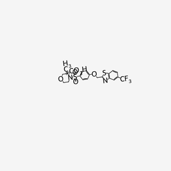 C[C@]1(C(=O)O)COCCN1S(=O)(=O)c1ccc(OCc2nc3cc(C(F)(F)F)ccc3s2)cc1